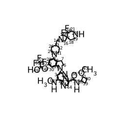 CNc1cc(N2CCc3c(N4CCC(CN5CC6(CCNCC6(F)F)C5)CC4)cccc32)nn2c(C(=O)N[C@@H]3CC[C@H]3OC)cnc12.O=C(O)C(F)(F)F